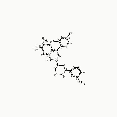 Cc1cc([C@@H]2CN(c3nc(-c4ccc(F)cc4F)c4cc(C)c(C)nc4n3)CCO2)ccn1